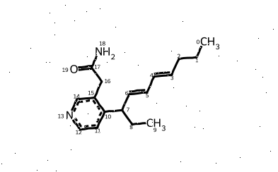 CCC/C=C/C=C/C(CC)c1ccncc1CC(N)=O